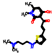 Cc1cc(O)c(C(=O)C=Cc2ccc(NCCCN(C)C)s2)c(=O)n1C